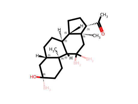 BC1(B)C[C@]2(C)[C@@H](C(C)=O)CC[C@H]2[C@@H]2CC[C@H]3C[C@](B)(O)CC[C@]3(C)[C@H]21